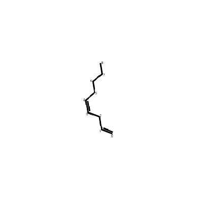 C=CC/C=C\CCCC